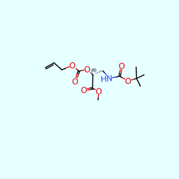 C=CCOC(=O)O[C@H](CNC(=O)OC(C)(C)C)C(=O)OC